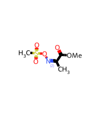 COC(=O)/C(C)=N\OS(C)(=O)=O